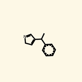 CC(C1=CCN=C1)c1ccccc1